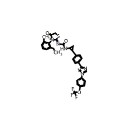 CCc1cccc(C)c1N1C(=O)CS/C1=N\C(=O)NC1CC1c1ccc(-c2ncn(-c3ccc(OC(F)(F)F)cc3)n2)cc1